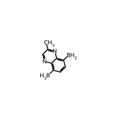 Bc1ccc(B)c2nc(C)cnc12